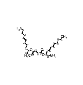 CCCCC=CC=COC(CC)OC(=O)C=CC(=O)OC(CC)OC=CC=CCCCC